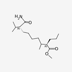 CCC[C@@H](C(=O)OC)C(C)CCCC[C@@H](C(N)=O)C(C)C